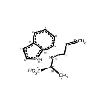 C=CCN[C@@H](C)C(=O)O.c1ccc2[nH]ccc2c1